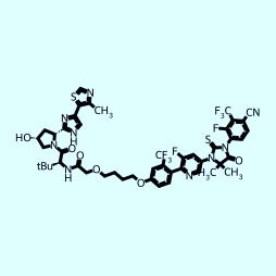 Cc1ncsc1-c1c[nH]c([C@H]2C[C@@H](O)CN2C(=O)[C@@H](NC(=O)COCCCCOc2ccc(-c3ncc(N4C(=S)N(c5ccc(C#N)c(C(F)(F)F)c5F)C(=O)C4(C)C)cc3F)c(C(F)(F)F)c2)C(C)(C)C)n1